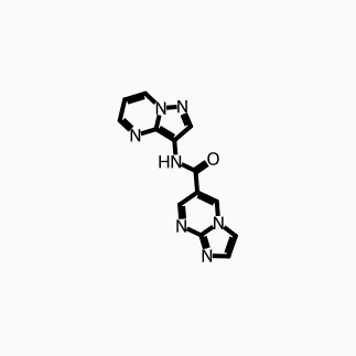 O=C(Nc1cnn2cccnc12)c1cnc2nccn2c1